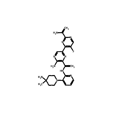 C=C(N)c1ncc(F)c(-c2cnc(N)c(C(=C)Nc3ncccc3N3CCC(C)(N)CC3)n2)n1